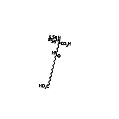 O=C(O)CCCCCCCCCCCCCCC(=O)NCCCC[C@H](NC1SSC2(SS1)SS2)C(=O)O